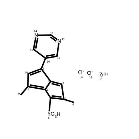 CC1=C2C(=CC(C)=C2S(=O)(=O)O)C(c2cncnc2)=C1.[Cl-].[Cl-].[Zr+2]